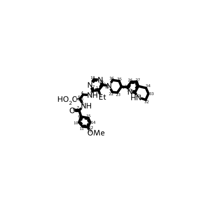 CCc1c(NC[C@H](NC(=O)c2ccc(OC)cc2)C(=O)O)ncnc1N1CCC(c2ccc3c(n2)NCCC3)CC1